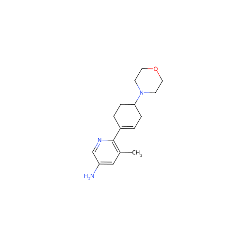 Cc1cc(N)cnc1C1=CCC(N2CCOCC2)CC1